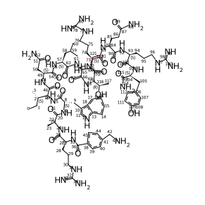 CC[C@H](C)[C@H](NC(=O)[C@H](Cc1c[nH]c2ccccc12)NC(=O)[C@H](C)NC(=O)[C@H](CCCNC(=N)N)NC(=O)c1ccc(CN)cc1)C(=O)N[C@@H](CC(N)=O)C(=O)N[C@@H](CC(C)C)C(=O)N[C@H](C(=O)N[C@H](C(=O)N[C@@H](CCCNC(=N)N)C(=O)N[C@@H](CCC(N)=O)C(=O)N[C@@H](CCCNC(=N)N)C(=O)N[C@@H](Cc1ccc(O)cc1)C(N)=O)[C@@H](C)O)[C@@H](C)CC